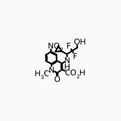 Cn1c(=O)c(C(=O)O)c(NC(C2CC2)C(F)(F)CO)c2cc([N+](=O)[O-])ccc21